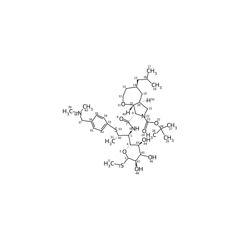 CSC1O[C@H]([C@H](NC(=O)[C@@H]2[C@@H]3OCC[C@@H](CC(C)C)C[C@H]3CN2C(=O)OC(C)(C)C)[C@H](C)Sc2ccc(CN(C)C)cc2)[C@@H](O)C(O)[C@H]1O